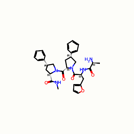 CNC(=O)[C@@H]1C[C@H](c2ccccc2)CN1C(=O)[C@@H]1C[C@H](c2ccccc2)CN1C(=O)[C@H](Cc1ccco1)NC(=O)[C@H](C)N